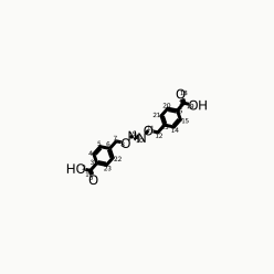 O=C(O)c1ccc(CON=NOCc2ccc(C(=O)O)cc2)cc1